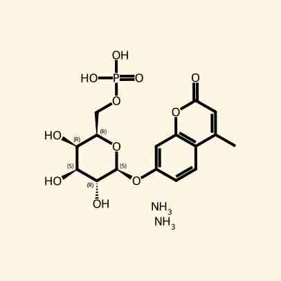 Cc1cc(=O)oc2cc(O[C@@H]3O[C@H](COP(=O)(O)O)[C@H](O)[C@H](O)[C@H]3O)ccc12.N.N